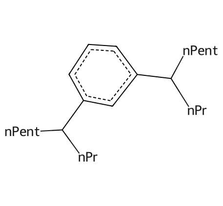 CCCCCC(CCC)c1cccc(C(CCC)CCCCC)c1